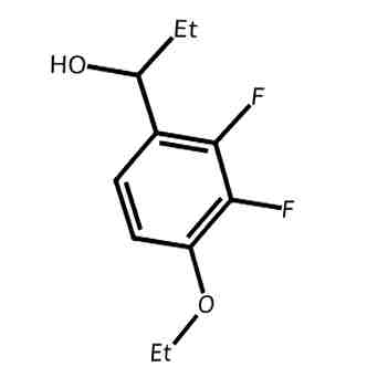 CCOc1ccc(C(O)CC)c(F)c1F